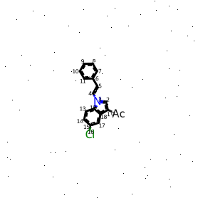 CC(=O)c1cn(C=Cc2ccccc2)c2ccc(Cl)cc12